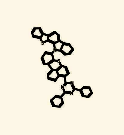 c1ccc(-c2nc(-c3ccccc3)nc(-c3ccc4c5c(cccc35)-c3cccc(-n5c6ccccc6c6ccc7c8ccccc8sc7c65)c3S4)n2)cc1